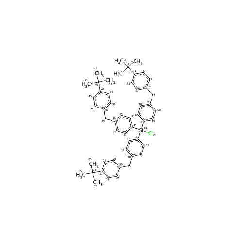 CC(C)(C)c1ccc(Cc2ccc([Si](Cl)(c3ccc(Cc4ccc(C(C)(C)C)cc4)cc3)c3ccc(Cc4ccc(C(C)(C)C)cc4)cc3)cc2)cc1